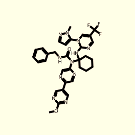 COc1ncc(-c2cnc(N(C(=O)NCc3ccccc3)C3(NC4N=CC(C(F)(F)F)=CN4c4ccnn4C)CCCCC3)cn2)cn1